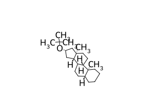 CC(C)(C)O[C@H]1C[C@H]2[C@@H]3CC[C@H]4CCCC[C@]4(C)[C@H]3CC[C@]2(C)C1